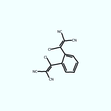 N#CC(C#N)=C(Cl)c1ccccc1C(Cl)=C(C#N)C#N